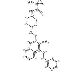 Cc1c(CO[C@H]2CC[C@H](NC(=O)C3(C)CC3)CC2)nc2ccccc2c1OCc1ccccc1